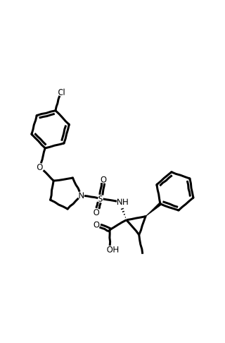 CC1[C@H](c2ccccc2)[C@]1(NS(=O)(=O)N1CCC(Oc2ccc(Cl)cc2)C1)C(=O)O